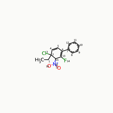 CCC1(Cl)C=CC(c2ccccc2)=C(F)C1[N+](=O)[O-]